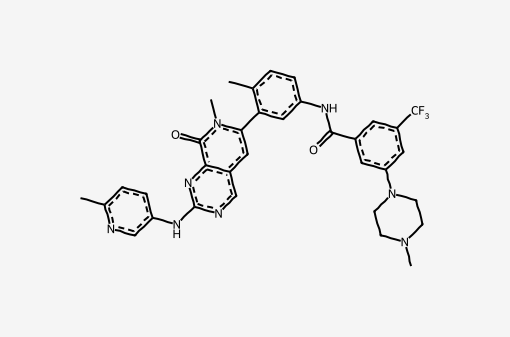 Cc1ccc(Nc2ncc3cc(-c4cc(NC(=O)c5cc(N6CCN(C)CC6)cc(C(F)(F)F)c5)ccc4C)n(C)c(=O)c3n2)cn1